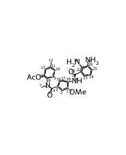 COc1cc(C(=O)N(C)c2ccc(C)cc2OC(C)=O)ccc1NC(=O)c1cccc(N)c1N